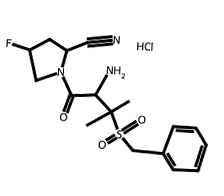 CC(C)(C(N)C(=O)N1CC(F)CC1C#N)S(=O)(=O)Cc1ccccc1.Cl